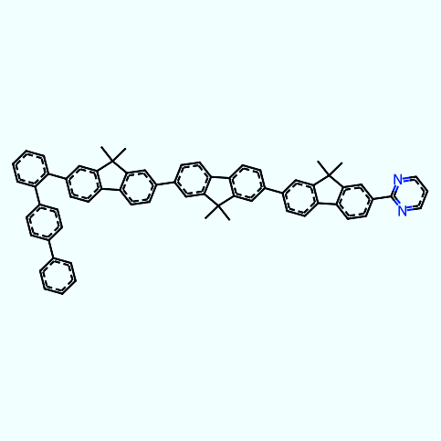 CC1(C)c2cc(-c3ccc4c(c3)C(C)(C)c3cc(-c5ncccn5)ccc3-4)ccc2-c2ccc(-c3ccc4c(c3)C(C)(C)c3cc(-c5ccccc5-c5ccc(-c6ccccc6)cc5)ccc3-4)cc21